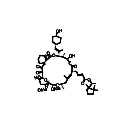 CO[C@H]1C[C@@H](C)C/C(C)=C/[C@@H](C/C=C/C(=O)OC(C)C2(C)CCCC2(C)C)C(=O)C[C@H](O)[C@@H](C)[C@@H](/C(C)=C/[C@H]2CC[C@H](O)CC2)OC(=O)[C@@H]2CCCCN2C(=O)C(=O)[C@]2(O)O[C@H]1[C@@H](OC)C[C@H]2C